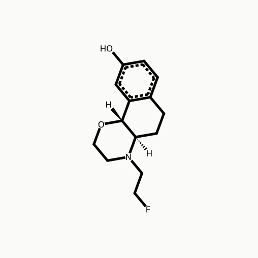 Oc1ccc2c(c1)[C@H]1OCCN(CCF)[C@@H]1CC2